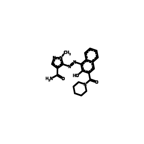 Cn1ncc(C(N)=O)c1/N=N/c1c(O)c(C(=O)N2CCCCC2)cc2ccccc12